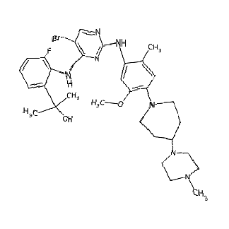 COc1cc(Nc2ncc(Br)c(Nc3c(F)cccc3C(C)(C)O)n2)c(C)cc1N1CCC(N2CCN(C)CC2)CC1